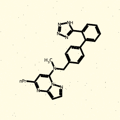 CCCc1cc(N(C)Cc2ccc(-c3ccccc3-c3nnn[nH]3)cc2)n2nccc2n1